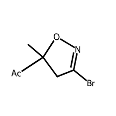 CC(=O)C1(C)CC(Br)=NO1